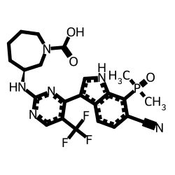 CP(C)(=O)c1c(C#N)ccc2c(-c3nc(N[C@H]4CCCCN(C(=O)O)C4)ncc3C(F)(F)F)c[nH]c12